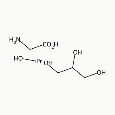 CC(C)O.NCC(=O)O.OCC(O)CO